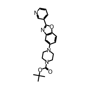 CC(C)(C)OC(=O)N1CCN(c2ccc3oc(-c4cccnc4)nc3c2)CC1